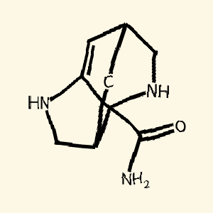 NC(=O)C12NCC3C=C1NCC2C3